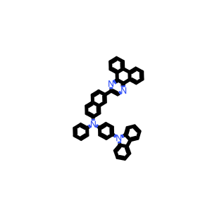 c1ccc(N(c2ccc(-n3c4ccccc4c4ccccc43)cc2)c2ccc3ccc(-c4cnc5c6ccccc6c6ccccc6c5n4)cc3c2)cc1